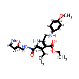 CCOC(=O)c1c(CNc2ccc(OC)cc2)[nH]c(C(=O)NCc2ccno2)c1CC